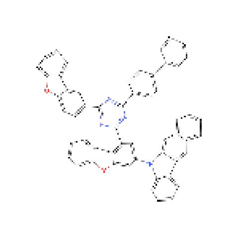 c1ccc(-c2ccc(-c3nc(-c4ccc5oc6ccccc6c5c4)nc(-c4cc(-n5c6ccccc6c6cc7ccccc7cc65)cc5oc6ccccc6c45)n3)cc2)cc1